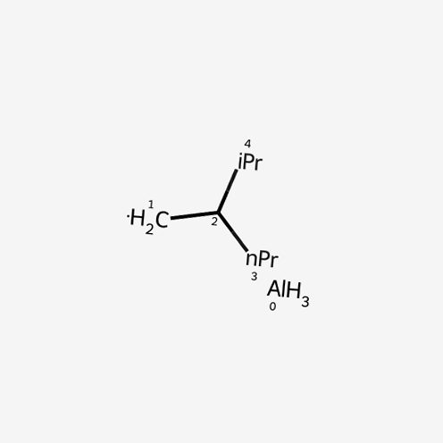 [AlH3].[CH2]C(CCC)C(C)C